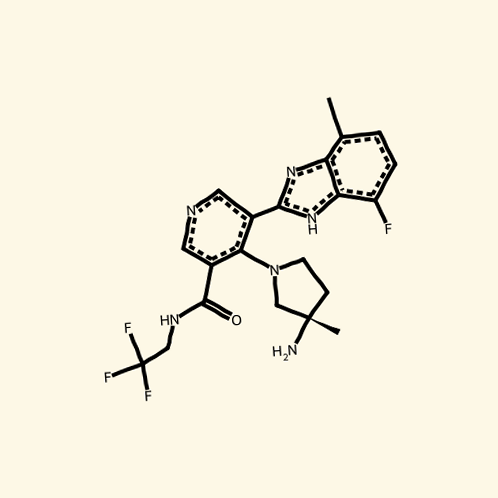 Cc1ccc(F)c2[nH]c(-c3cncc(C(=O)NCC(F)(F)F)c3N3CC[C@](C)(N)C3)nc12